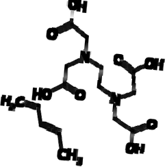 C=CC=CC.O=C(O)CN(CCN(CC(=O)O)CC(=O)O)CC(=O)O